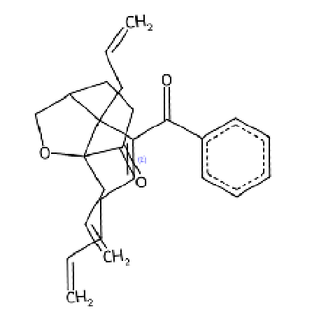 C=CCC/C=C(/C(=O)c1ccccc1)C1(CC=C)C2CCC(=O)C1(CC=C)OC2